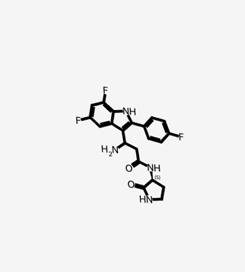 NC(CC(=O)N[C@H]1CCNC1=O)c1c(-c2ccc(F)cc2)[nH]c2c(F)cc(F)cc12